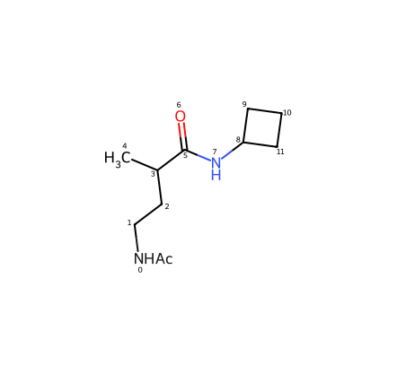 CC(=O)NCCC(C)C(=O)NC1CCC1